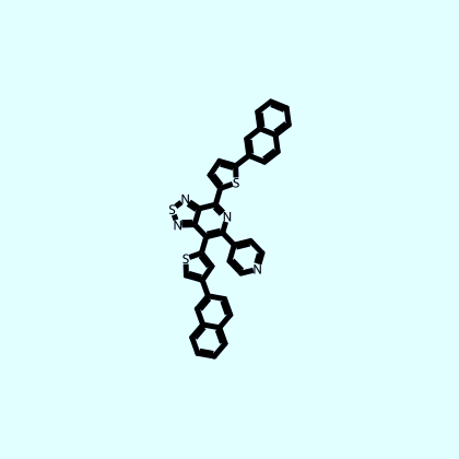 c1ccc2cc(-c3csc(-c4c(-c5ccncc5)nc(-c5ccc(-c6ccc7ccccc7c6)s5)c5nsnc45)c3)ccc2c1